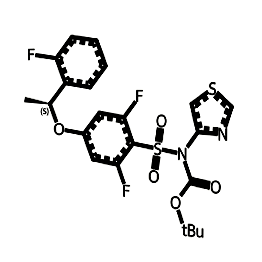 C[C@H](Oc1cc(F)c(S(=O)(=O)N(C(=O)OC(C)(C)C)c2cscn2)c(F)c1)c1ccccc1F